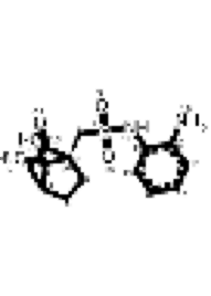 CC1(C)C2CC[C@@]1(CS(=O)(=O)Nc1ccccc1N)C(=O)C2